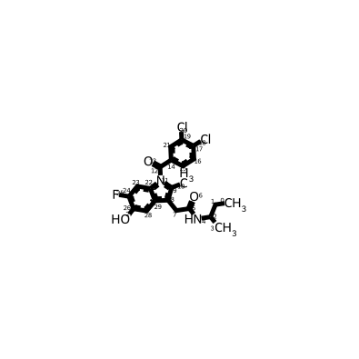 CCC(C)NC(=O)Cc1c(C)n(C(=O)c2ccc(Cl)c(Cl)c2)c2cc(F)c(O)cc12